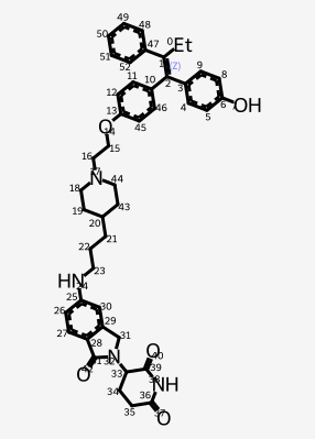 CC/C(=C(\c1ccc(O)cc1)c1ccc(OCCN2CCC(CCCNc3ccc4c(c3)CN(C3CCC(=O)NC3=O)C4=O)CC2)cc1)c1ccccc1